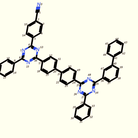 N#Cc1ccc(-c2nc(-c3ccccc3)nc(-c3ccc(-c4ccc(-c5nc(-c6ccccc6)nc(-c6cccc(-c7ccccc7)c6)n5)cc4)cc3)n2)cc1